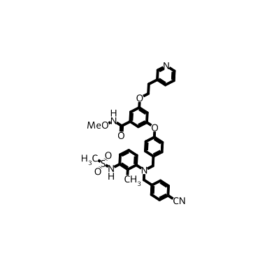 CONC(=O)c1cc(OCCc2cccnc2)cc(Oc2ccc(CN(Cc3ccc(C#N)cc3)c3cccc(NS(C)(=O)=O)c3C)cc2)c1